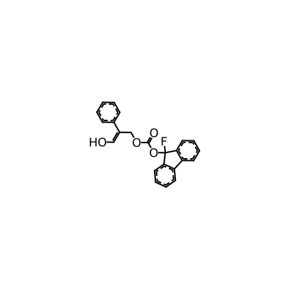 O=C(OCC(=CO)c1ccccc1)OC1(F)c2ccccc2-c2ccccc21